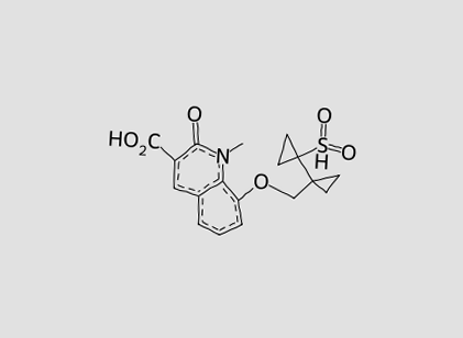 Cn1c(=O)c(C(=O)O)cc2cccc(OCC3(C4([SH](=O)=O)CC4)CC3)c21